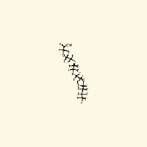 OC(F)C(F)(F)OC(F)(F)C(F)(F)OC(F)(F)C(F)(F)OC(F)(F)C(F)(F)OC(F)(F)C(F)(F)C(F)(F)C(F)(F)F